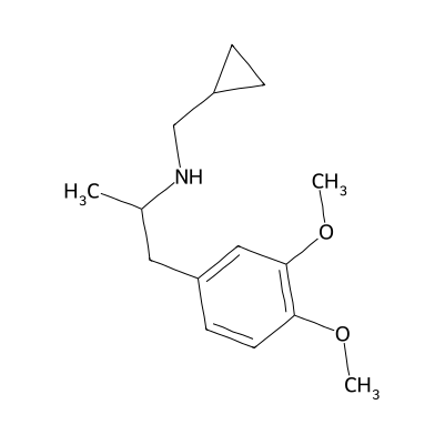 COc1ccc(CC(C)NCC2CC2)cc1OC